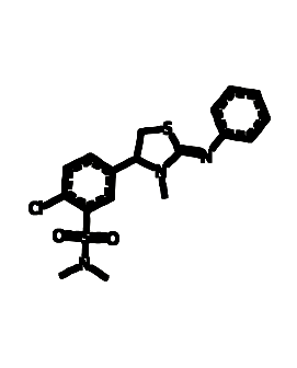 CN1C(=Nc2ccccc2)SCC1c1ccc(Cl)c(S(=O)(=O)N(C)C)c1